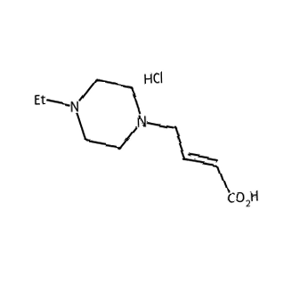 CCN1CCN(C/C=C/C(=O)O)CC1.Cl